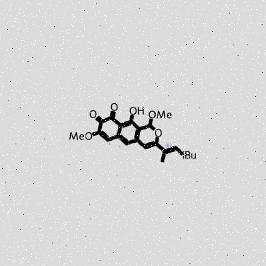 CCC(C)/C=C(\C)C1=Cc2cc3c(c(O)c2C(OC)O1)C(=O)C(=O)C(OC)=C3